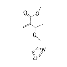 C=C(C(=O)OC)C(C)OC.c1cocn1